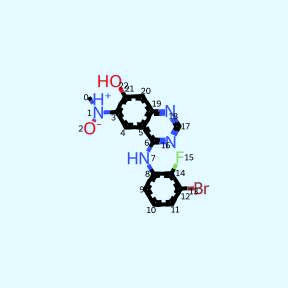 C[NH+]([O-])c1cc2c(Nc3cccc(Br)c3F)ncnc2cc1O